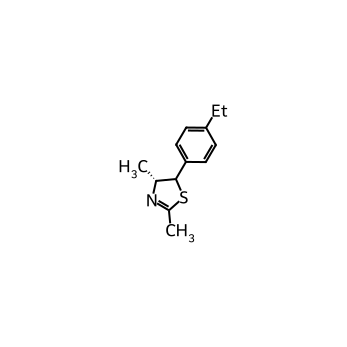 CCc1ccc(C2SC(C)=N[C@@H]2C)cc1